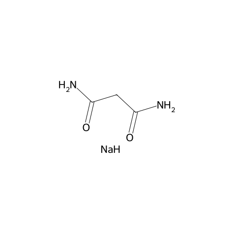 NC(=O)CC(N)=O.[NaH]